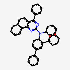 c1ccc(-c2ccc(N(c3ccccc3)c3nc(-c4ccccc4)c4ccc5ccccc5c4n3)c(-c3ccccc3)c2)cc1